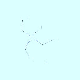 CC[N+](C)(CC)CC.[CH3]